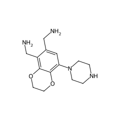 NCc1cc(N2CCNCC2)c2c(c1CN)OCCO2